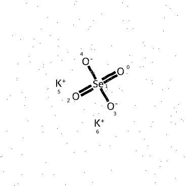 O=[Se](=O)([O-])[O-].[K+].[K+]